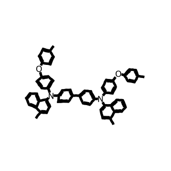 Cc1ccc(Oc2ccc(N(c3ccc(-c4ccc(N(c5ccc(Oc6ccc(C)cc6)cc5)c5ccc(C)c6ccccc56)cc4)cc3)c3ccc(C)c4ccccc34)cc2)cc1